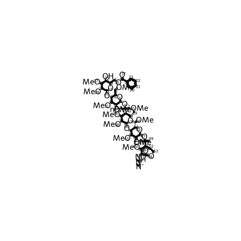 CCCC(C)(O[C@@H]1OC(COC)[C@@H](O[C@@H]2OC(COC(=O)c3ccccc3)[C@@H](O)C(OC)[C@@H]2OC)C(OC)[C@@H]1OC)[C@H]1C(OC)C(OC)[C@@H](O[C@H]2C(OC)C(OC)[C@H](OC(C)(CC)[C@H]3C4CO[C@H](O4)[C@@H](N=[N+]=[N-])C3OC)O[C@H]2COC)O[C@H]1COC